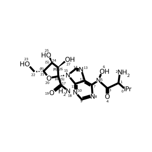 CC(C)C(N)C(=O)N(O)c1ncnc2c1ncn2[C@]1(C(N)=O)O[C@H](CO)[C@@H](O)[C@H]1O